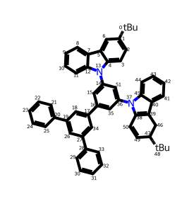 CC(C)(C)c1ccc2c(c1)c1ccccc1n2-c1cc(-c2cc(-c3ccccc3)cc(-c3ccccc3)c2)cc(-n2c3c(c4ccccc42)CC(C(C)(C)C)C=C3)c1